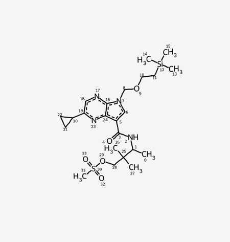 CC(NC(=O)c1cn(COCC[Si](C)(C)C)c2ncc(C3CC3)nc12)C(C)(C)COS(C)(=O)=O